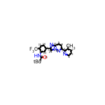 Cc1cccnc1-c1ccc2nc(-c3ccc(C(F)(F)F)c(NC(=O)C(C)(C)C)c3)cn2n1